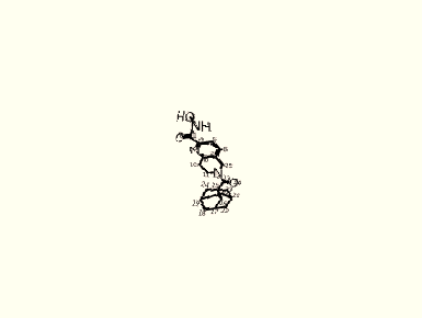 O=C(NO)c1ccc2c(n1)CCN(C(=O)C13CC4CC(CC(C4)C1)C3)C2